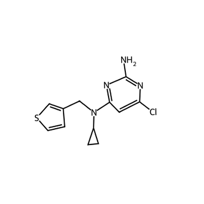 Nc1nc(Cl)cc(N(Cc2ccsc2)C2CC2)n1